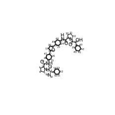 CN(C)[C@H](C(=O)N1CCCC1C(=O)Nc1ccc(-c2ccc(-c3ccc(NC(=O)C4CCCN4C(=O)[C@@H](O)c4ccccc4)cc3)o2)cc1)c1ccccc1